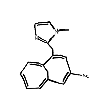 CC(=O)c1cc(-c2nccn2C)c2ccccc2c1